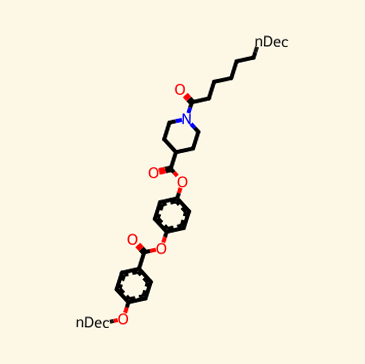 CCCCCCCCCCCCCCCC(=O)N1CCC(C(=O)Oc2ccc(OC(=O)c3ccc(OCCCCCCCCCC)cc3)cc2)CC1